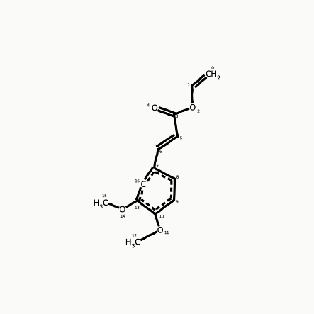 C=COC(=O)C=Cc1ccc(OC)c(OC)c1